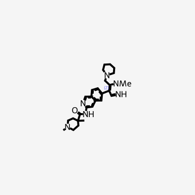 CN/C(CN1CCCCC1)=C(\C=N)c1ccc2cnc(NC(=O)C3(C)CCN(C)CC3)cc2c1